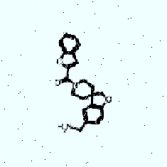 NCc1ccc2c(c1)C1(CCN(C(=O)c3cc4ccccc4o3)CC1)CO2